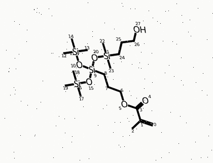 C=C(C)C(=O)OCCC[Si](O[Si](C)(C)C)(O[Si](C)(C)C)O[Si](C)(C)CCCO